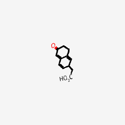 O=C(O)CC1C=CC2=CC(=O)CCC2=C1